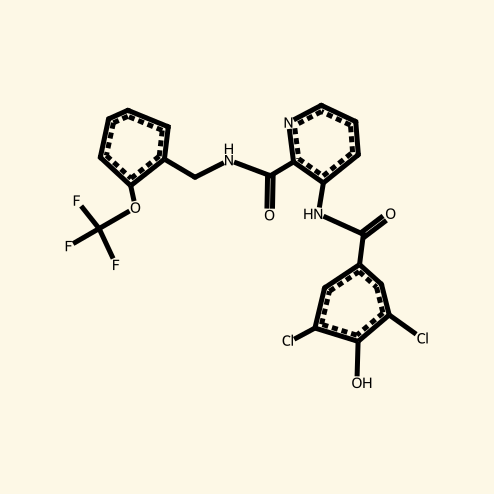 O=C(Nc1cccnc1C(=O)NCc1ccccc1OC(F)(F)F)c1cc(Cl)c(O)c(Cl)c1